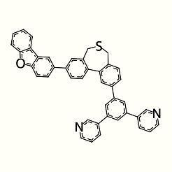 c1cncc(-c2cc(-c3cccnc3)cc(-c3ccc4c(c3)-c3ccc(-c5ccc6oc7ccccc7c6c5)cc3CSC4)c2)c1